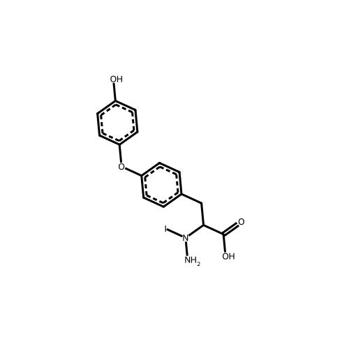 NN(I)C(Cc1ccc(Oc2ccc(O)cc2)cc1)C(=O)O